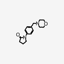 O=C1CCCN1c1ccc(CN2CCOCC2)cc1